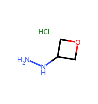 Cl.NNC1COC1